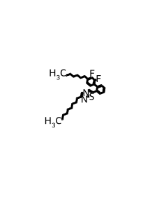 CCCCCCCCCc1cn2cc(-c3ccccc3-c3ccc(CCCCCCC)c(F)c3F)sc2n1